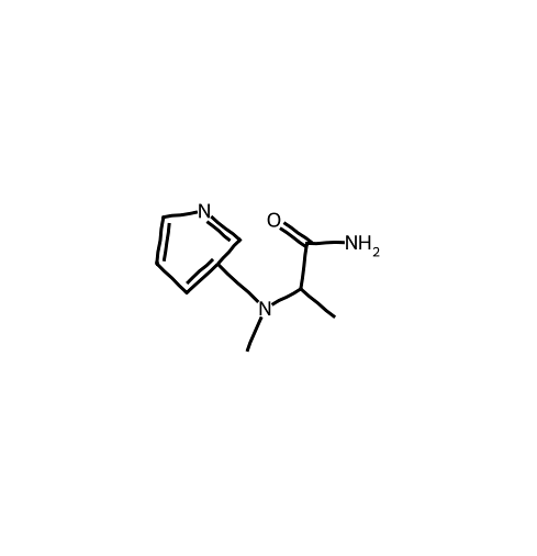 CC(C(N)=O)N(C)c1cccnc1